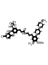 CCS(=O)(=O)Nc1cc(CCC(=O)NCCCc2cc(N)c(OC)cc2N2CCC(N3CCN(C)CC3)CC2)ccc1Nc1nc(Cl)ncc1Br